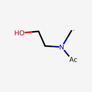 [CH2]N(CCO)C(C)=O